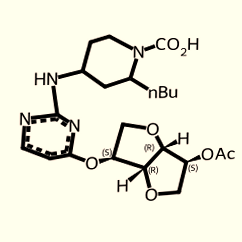 CCCCC1CC(Nc2nccc(O[C@H]3CO[C@H]4[C@@H]3OC[C@@H]4OC(C)=O)n2)CCN1C(=O)O